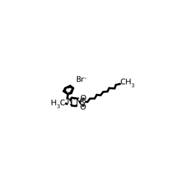 CCCCCCCCCCCCS(=O)(=O)N1CC[N+](CC)(Cc2ccccc2)CC1.[Br-]